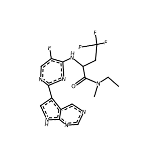 CCN(C)C(=O)C(CC(F)(F)F)Nc1nc(-c2c[nH]c3ncncc23)ncc1F